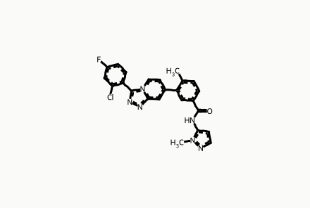 Cc1ccc(C(=O)Nc2ccnn2C)cc1-c1ccn2c(-c3ccc(F)cc3Cl)nnc2c1